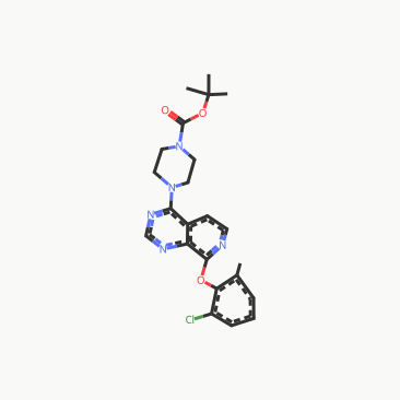 Cc1cccc(Cl)c1Oc1nccc2c(N3CCN(C(=O)OC(C)(C)C)CC3)ncnc12